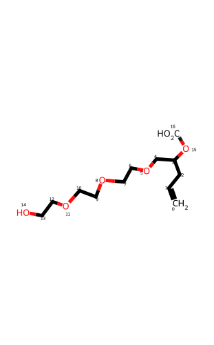 C=CCC(COCCOCCOCCO)OC(=O)O